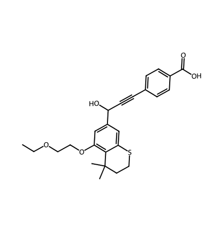 CCOCCOc1cc(C(O)C#Cc2ccc(C(=O)O)cc2)cc2c1C(C)(C)CCS2